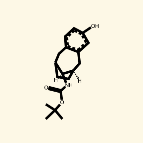 CC(C)(C)OC(=O)N[C@H]1C2CC[C@@H]1Cc1cc(O)ccc1C2